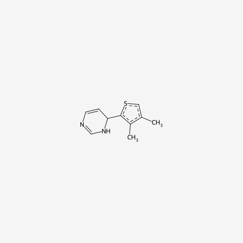 Cc1csc(C2C=CN=CN2)c1C